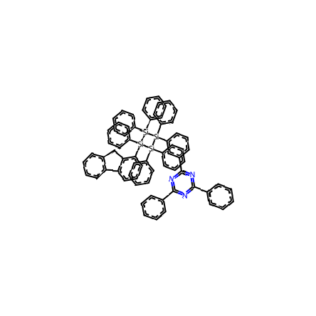 c1ccc(-c2nc(-c3ccccc3)nc(-c3cccc([Si]4(c5ccccc5)[Si](c5ccccc5)(c5ccccc5)[Si](c5ccccc5)(c5cccc6c5Cc5ccccc5-6)[Si]4(c4ccccc4)c4ccccc4)c3)n2)cc1